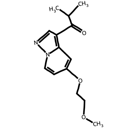 COCCOc1ccn2ncc(C(=O)C(C)C)c2c1